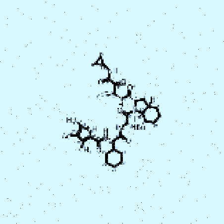 CCC[C@H](NC(=O)[C@@H]1C[C@@H]2CCCC[C@@H]2N1C(=O)[C@@H](NC(=O)[C@@H](NC(=O)c1[nH]c(C)c(C(C)=O)c1C)C1CCCCC1)C(C)(C)C)C(=O)C(=O)NC1CC1